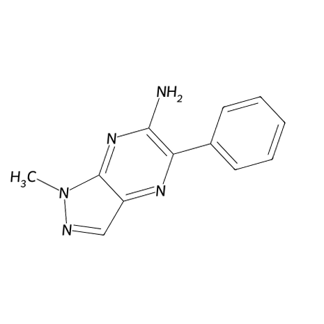 Cn1ncc2nc(-c3ccccc3)c(N)nc21